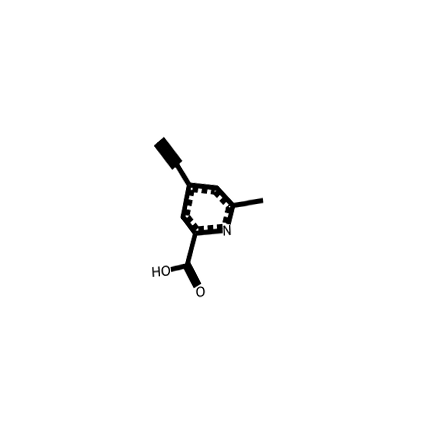 C#Cc1cc(C)nc(C(=O)O)c1